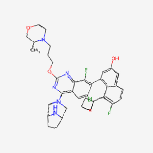 CC1COCCN1CCCOc1nc(N2CC3CCC(C2)N3)c2cc(Cl)c(-c3cc(O)cc4ccc(F)c(C56CC(C5)C6)c34)c(F)c2n1